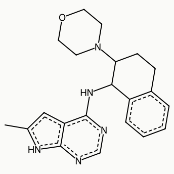 Cc1cc2c(NC3c4ccccc4CCC3N3CCOCC3)ncnc2[nH]1